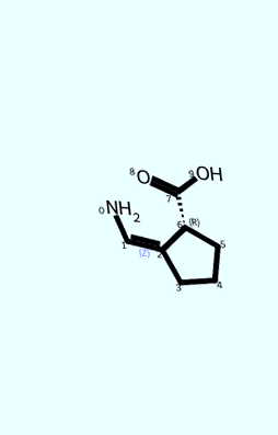 N/C=C1/CCC[C@H]1C(=O)O